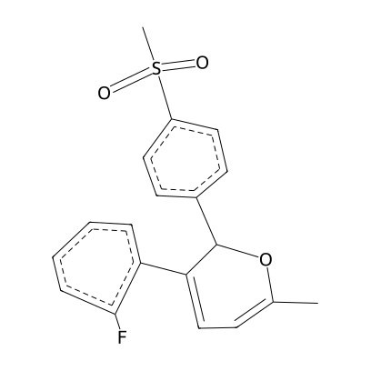 CC1=CC=C(c2ccccc2F)C(c2ccc(S(C)(=O)=O)cc2)O1